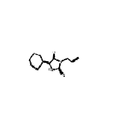 C=CCN1C(=O)C(=C2CCCCC2)NC1=S